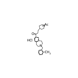 CC(=O)N1CCC(CCC(=O)c2ccc3c(c2)CCN(Cc2ccccc2C)CC3)CC1.Cl